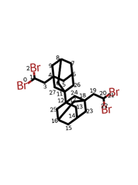 BrC(Br)CC12CC3CC(C1)CC(C14CC5CC(CC(CC(Br)Br)(C5)C1)C4)(C3)C2